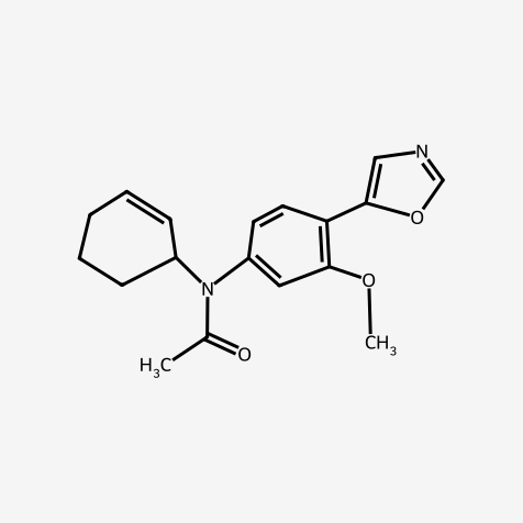 COc1cc(N(C(C)=O)C2C=CCCC2)ccc1-c1cnco1